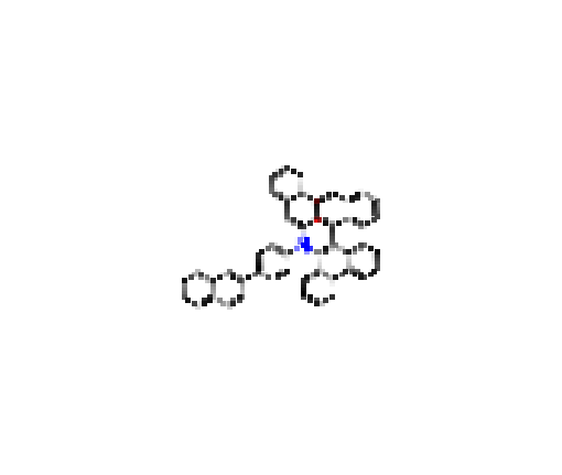 c1ccc2cc(-c3ccc(N(c4ccc5ccccc5c4)c4c(-c5cccc6ccccc56)c5ccccc5c5ccccc45)cc3)ccc2c1